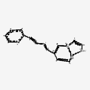 C(C=Cc1ccccn1)=CC1=CN2C=CNN2C=C1